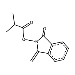 C=C1c2ccccc2C(=O)N1OC(=O)C(C)C